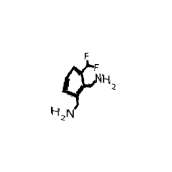 NCc1cccc(C(F)F)c1CN